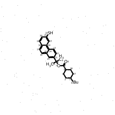 CCC(C)C1CCC(C(=O)OC(C)(C)c2ccc3c(ccc4ccc(S)cc43)c2)CC1